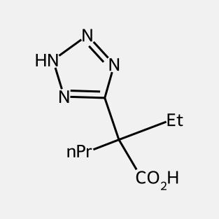 CCCC(CC)(C(=O)O)c1nn[nH]n1